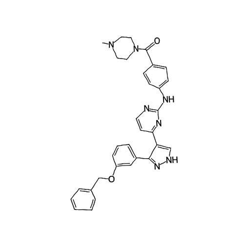 CN1CCN(C(=O)c2ccc(Nc3nccc(-c4c[nH]nc4-c4cccc(OCc5ccccc5)c4)n3)cc2)CC1